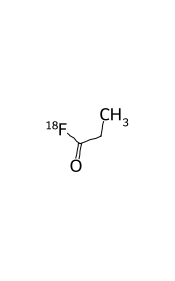 CCC(=O)[18F]